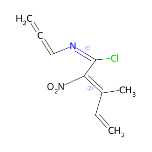 C=C=C/N=C(Cl)\C(=C(/C)C=C)[N+](=O)[O-]